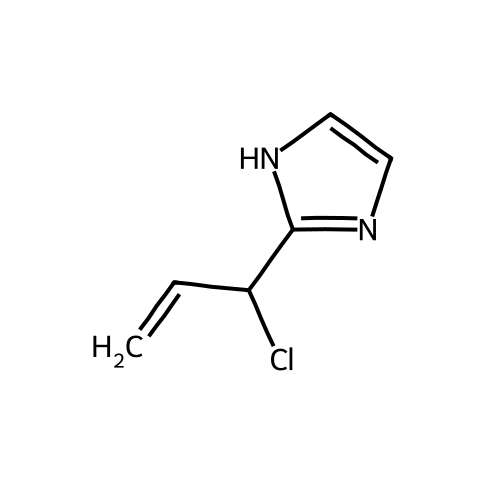 C=CC(Cl)c1ncc[nH]1